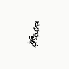 Cc1ccc2[nH]nc(-c3nc4ccc(N5CCC(N6CCCC6)CC5)cc4[nH]3)c2c1